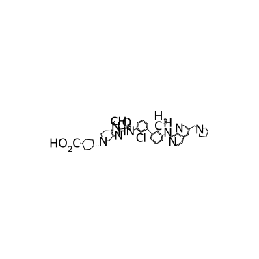 Cc1c(Nc2nccc3cc(CN4CCCC4)cnc23)cccc1-c1cccc(NC(=O)c2nc3c(n2C)CCN(C[C@H]2CC[C@@H](C(=O)O)CC2)C3)c1Cl